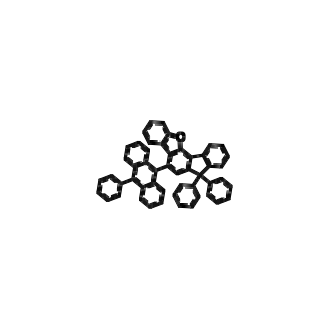 c1ccc(-c2c3ccccc3c(-c3cc4c(c5oc6ccccc6c35)-c3ccccc3C4(c3ccccc3)c3ccccc3)c3ccccc23)cc1